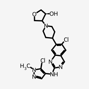 Cn1ncc(Nc2ncc3cc(Cl)c(C4CCN(C5COC[C@H]5O)CC4)cc3n2)c1Cl